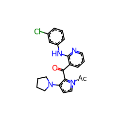 CC(=O)n1ccc(N2CCCC2)c1C(=O)c1cccnc1Nc1cccc(Cl)c1